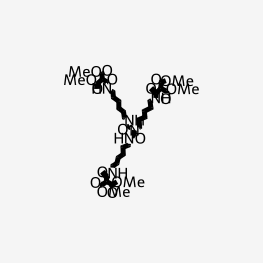 COC(=O)C(C(=O)NCCCCCCNC(=O)N(CCCCCCNC(=O)C(C(=O)OC)C(=O)OC)C(=O)NCCCCCCNC(=O)C(C(=O)OC)C(=O)OC)C(=O)OC